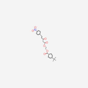 CC(C)(C)c1ccc(C(=O)OCCOC(=O)CC(=O)C=Cc2ccc([N+](=O)[O-])cc2)cc1